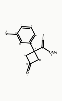 COC(=O)C1(c2cccc(Br)c2)CC(=O)C1